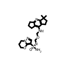 CC1(C)CCc2c1nc1c(c2NCOCN=S(N)(=O)c2cnn3c2OCCC3)CCC1